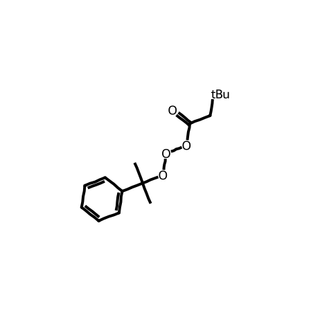 CC(C)(C)CC(=O)OOOC(C)(C)c1ccccc1